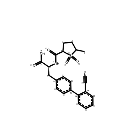 CC1CCC(C(=O)N[C@@H](Cc2ccc(-c3ccccc3C#N)cc2)C(=O)O)S1(=O)=O